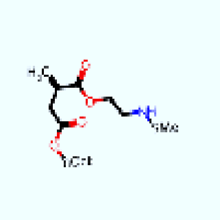 C=C(CC(=O)OCCCCCCCC)C(=O)OCCNSC